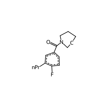 CCCc1cc(C(=O)N2CCCCC2)ccc1F